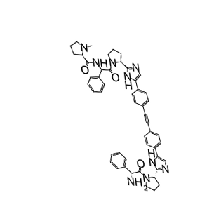 CN1CCC[C@@H]1C(=O)N[C@@H](C(=O)N1CCC[C@H]1c1ncc(-c2ccc(C#Cc3ccc(-c4cnc([C@@H]5CCCN5C(=O)[C@H](N)c5ccccc5)[nH]4)cc3)cc2)[nH]1)c1ccccc1